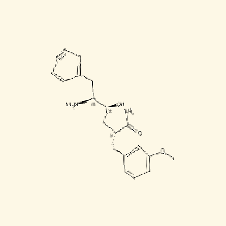 COc1cccc(C[C@H](C[C@H](O)[C@@H](N)Cc2ccccc2)C(N)=O)c1